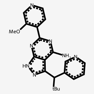 COc1cnccc1-c1nc(N)c2c(C(c3cccnc3)C(C)(C)C)n[nH]c2n1